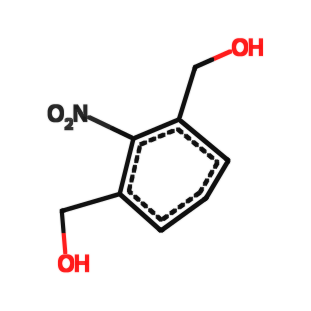 O=[N+]([O-])c1c(CO)cccc1CO